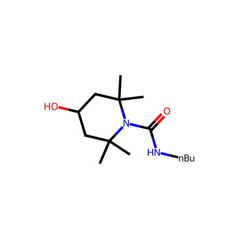 CCCCNC(=O)N1C(C)(C)CC(O)CC1(C)C